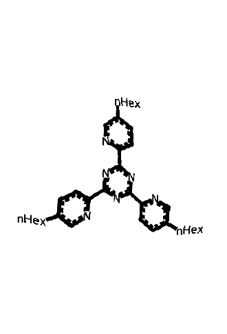 CCCCCCc1ccc(-c2nc(-c3ccc(CCCCCC)cn3)nc(-c3ccc(CCCCCC)cn3)n2)nc1